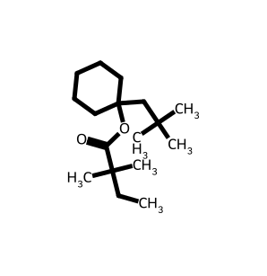 CCC(C)(C)C(=O)OC1(CC(C)(C)C)CCCCC1